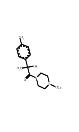 CC(C)(C(=O)N1CCN(C(=O)O)CC1)c1ccc([N+](=O)[O-])cc1